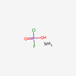 O=P(O)(F)Cl.[SrH2]